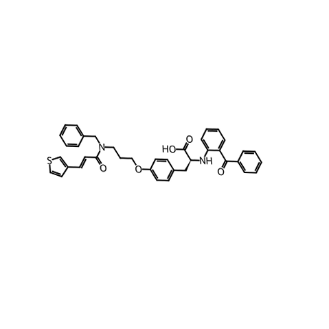 O=C(c1ccccc1)c1ccccc1N[C@@H](Cc1ccc(OCCCN(Cc2ccccc2)C(=O)C=Cc2ccsc2)cc1)C(=O)O